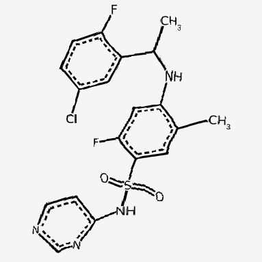 Cc1cc(S(=O)(=O)Nc2ccncn2)c(F)cc1NC(C)c1cc(Cl)ccc1F